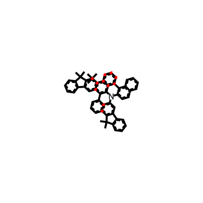 CC(C)(C)c1cc(-c2ccccc2)c(N(c2ccc3c(c2)-c2ccccc2C3(C)C)c2ccc3ccccc3c2-c2cccc(-c3ccc4c(c3)C(C)(C)c3ccccc3-4)c2)c2ccccc12